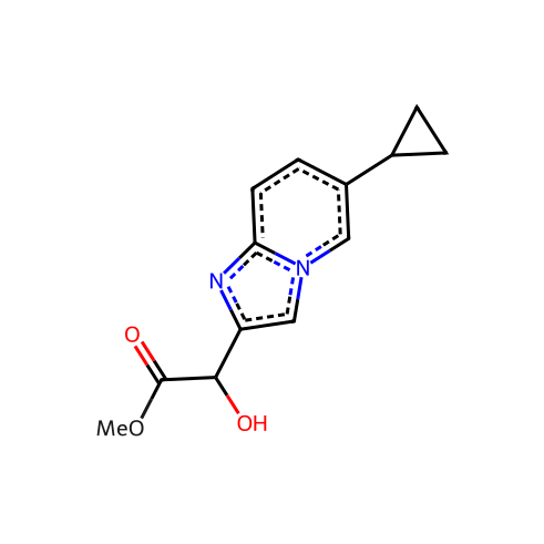 COC(=O)C(O)c1cn2cc(C3CC3)ccc2n1